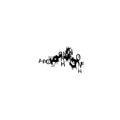 CNC(=O)C1CCCN(c2cc(NC(=O)c3ccc(C(C)(C)O)cc3)nc3ccnn23)C1